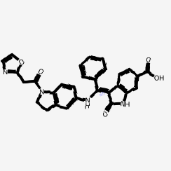 O=C1Nc2cc(C(=O)O)ccc2/C1=C(/Nc1ccc2c(c1)CCN2C(=O)Cc1ncco1)c1ccccc1